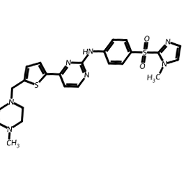 CN1CCN(Cc2ccc(-c3ccnc(Nc4ccc(S(=O)(=O)c5nccn5C)cc4)n3)s2)CC1